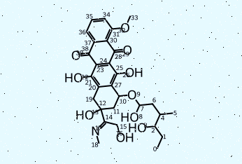 CCC(O)C(C)CC(O)OC1CC(O)(/C(CO)=N/C)Cc2c(O)c3c(c(O)c21)C(=O)c1c(OC)cccc1C3=O